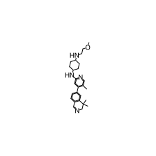 COCCNC1CCC(Nc2cc(-c3ccc4c(c3)C(C)(C)CN=C4)c(C)cn2)CC1